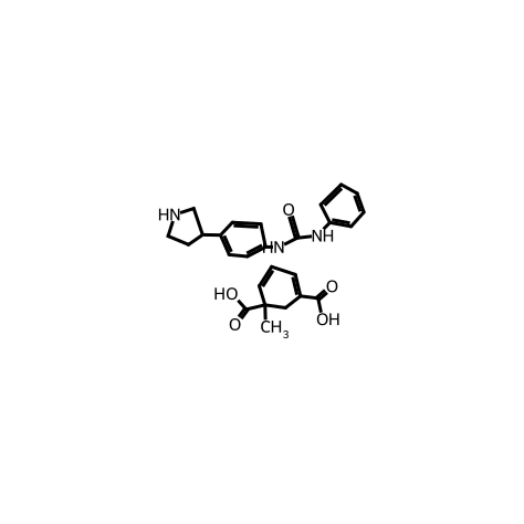 CC1(C(=O)O)C=CC=C(C(=O)O)C1.O=C(Nc1ccccc1)Nc1ccc(C2CCNC2)cc1